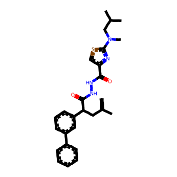 C=C(C)CC(C(=O)NNC(=O)c1csc(N(C)CC(C)C)n1)c1cccc(-c2ccccc2)c1